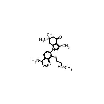 CNCCSc1c(-n2cc(C)c3c2CC(C)(C)CC3=O)ccc2c(N)ncnc12